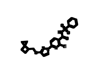 O=C(NS(=O)(=O)c1ccccc1)c1ccc(-n2ccc(OCC3CCC34CC4)n2)nc1Cl